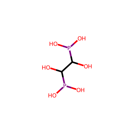 OC(C(O)P(O)O)P(O)O